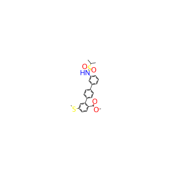 COC(=O)c1ccc(SC)cc1-c1ccc(-c2cccc(NS(=O)(=O)C(C)C)c2)cc1